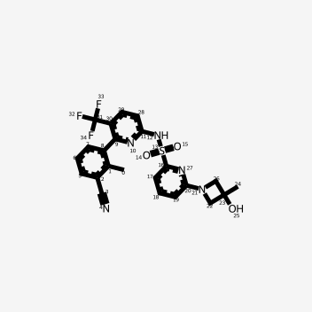 Cc1c(C#N)cccc1-c1nc(NS(=O)(=O)c2cccc(N3CC(C)(O)C3)n2)ccc1C(F)(F)F